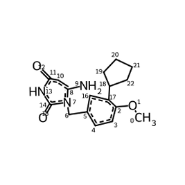 COc1ccc(Cn2c(N)cc(=O)[nH]c2=O)cc1C1CCCC1